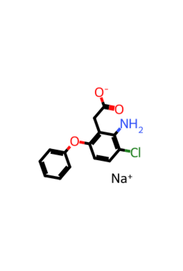 Nc1c(Cl)ccc(Oc2ccccc2)c1CC(=O)[O-].[Na+]